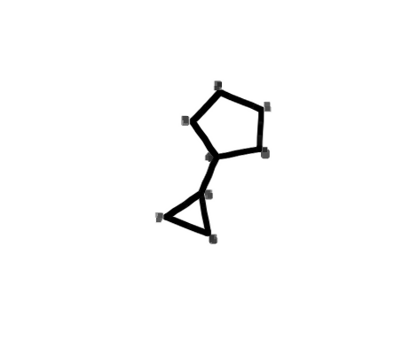 [CH]1CCCC1C1CC1